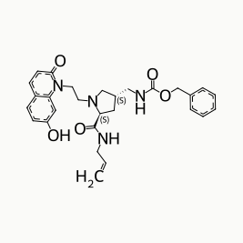 C=CCNC(=O)[C@@H]1C[C@@H](CNC(=O)OCc2ccccc2)CN1CCn1c(=O)ccc2ccc(O)cc21